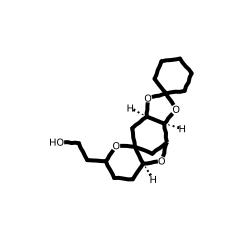 OCCC1CC[C@@H]2OC3CC2(C[C@H]2OC4(CCCCC4)O[C@@H]32)O1